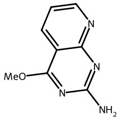 COc1nc(N)nc2ncccc12